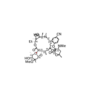 CC[C@H]1OC(=O)[C@H](C)[C@@H](O[C@H]2C[C@@](C)(OC)[C@@H](O)[C@H](C)O2)[C@H](C)[C@@H](O[C@@H]2O[C@H](C)C[C@H](NC)[C@H]2Oc2ccc(C#N)cc2)[C@](C)(O)C[C@@H](C)CN(C)[C@H](C)[C@@H](O)[C@]1(C)O